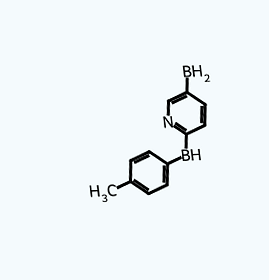 Bc1ccc(Bc2ccc(C)cc2)nc1